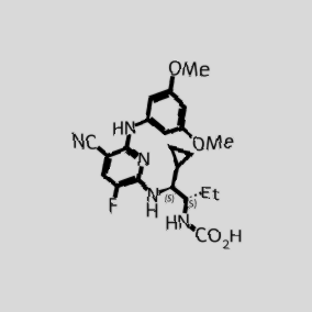 CC[C@H](NC(=O)O)[C@@H](Nc1nc(Nc2cc(OC)cc(OC)c2)c(C#N)cc1F)C1CC1